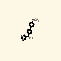 OC(c1ccc(-c2ccc(OC(F)(F)F)cc2)cc1)c1cncnc1